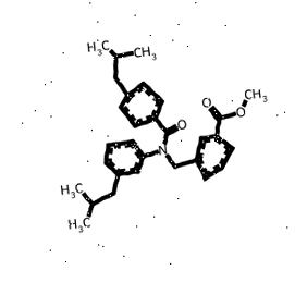 COC(=O)c1cccc(CN(C(=O)c2ccc(CC(C)C)cc2)c2cccc(CC(C)C)c2)c1